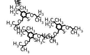 CC(C)COCc1cc(C(C)(C)C)cc(COCC(C)C)c1[S].CC(C)COCc1cc(C(C)(C)C)cc(COCC(C)C)c1[S].CC(C)COCc1cc(C(C)(C)C)cc(COCC(C)C)c1[S].F.F.F